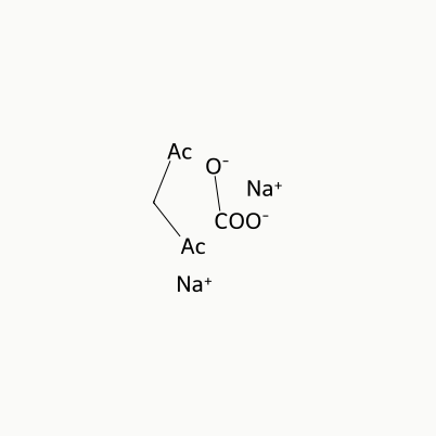 CC(=O)CC(C)=O.O=C([O-])[O-].[Na+].[Na+]